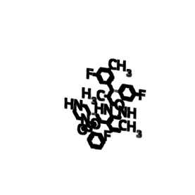 C/C=C(F)\C(CC[C@H]1CNCCN1S(=O)(=O)c1ccccc1)=C(/C=N)NC(=O)[C@@H](C)[C@@H](c1ccc(F)cc1)c1cc(C)cc(F)c1